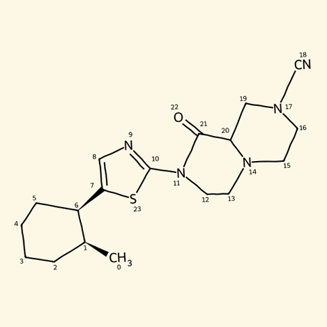 C[C@H]1CCCC[C@H]1c1cnc(N2CCN3CCN(C#N)CC3C2=O)s1